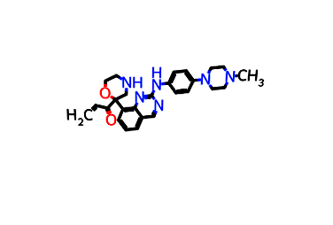 C=CC(=O)C1(c2cccc3cnc(Nc4ccc(N5CCN(C)CC5)cc4)nc23)CNCCO1